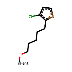 CCCCCOCCCCCc1sccc1Cl